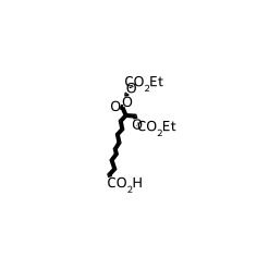 CCOC(=O)OCOC(=O)C(CCCCCCCCCC(=O)O)COC(=O)OCC